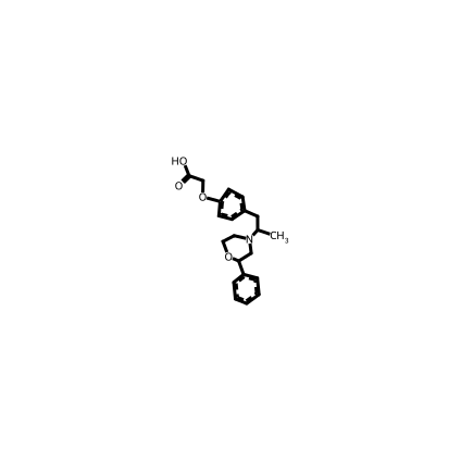 CC(Cc1ccc(OCC(=O)O)cc1)N1CCOC(c2ccccc2)C1